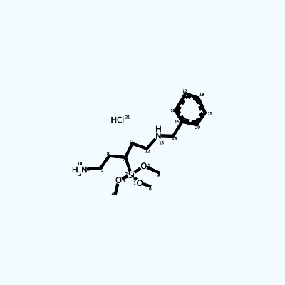 CO[Si](OC)(OC)C(CCN)CCNCc1ccccc1.Cl